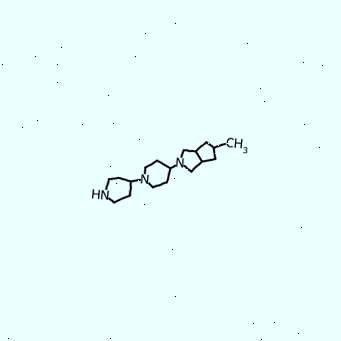 CC1CC2CN(C3CCN(C4CCNCC4)CC3)CC2C1